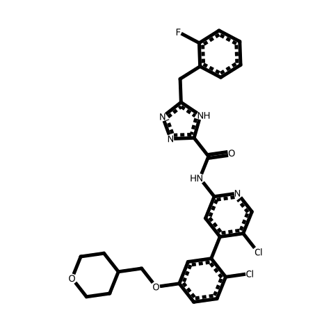 O=C(Nc1cc(-c2cc(OCC3CCOCC3)ccc2Cl)c(Cl)cn1)c1nnc(Cc2ccccc2F)[nH]1